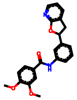 COc1ccc(C(=O)Nc2cccc(C3Cc4cccnc4O3)c2)cc1OC